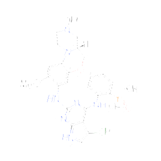 COc1cc2c(cc1Nc1nc(Nc3ccccc3P(C)(C)=O)c3c(Cl)c[nH]c3n1)OC[C@H]1CN(C(C)C)CCN21